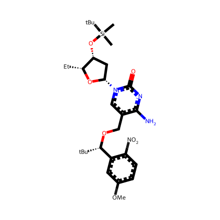 CC[C@H]1O[C@@H](n2cc(CO[C@H](c3cc(OC)ccc3[N+](=O)[O-])C(C)(C)C)c(N)nc2=O)C[C@H]1O[Si](C)(C)C(C)(C)C